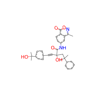 Cc1noc(=O)c2ccc(NC(=O)C(O)(C#Cc3ccc(C(C)(C)O)cc3)CC(C)(C)c3ccccc3)cc12